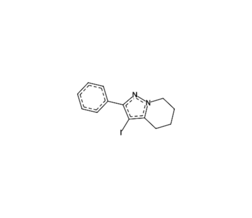 Ic1c(-c2ccccc2)nn2c1CCCC2